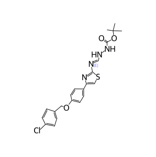 CC(C)(C)OC(=O)NN/C=N/c1nc(-c2ccc(OCc3ccc(Cl)cc3)cc2)cs1